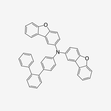 c1ccc(-c2ccccc2-c2ccc(N(c3ccc4oc5ccccc5c4c3)c3ccc4oc5ccccc5c4c3)cc2)cc1